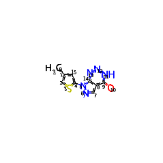 Cc1csc(-n2ncc3c(=O)[nH]nnc32)c1